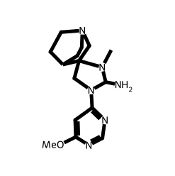 COc1cc(N2CC3(CN4CCC3CC4)N(C)C2N)ncn1